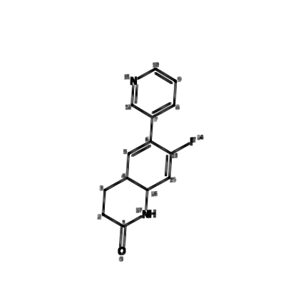 O=C1CCC2C=C(c3cccnc3)C(F)=CC2N1